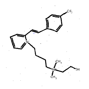 Cc1ccc(/C=C/c2cccc[n+]2CCCC[N+](C)(C)CCS)cc1